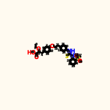 CCO[C@@H](Cc1ccc(OCCc2ccc(NC(=S)Nc3ccccc3S(C)(=O)=O)cc2)cc1)C(=O)O